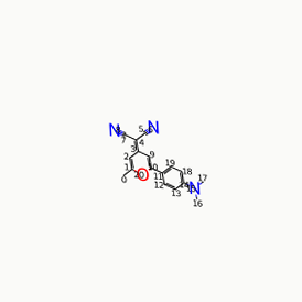 CC1=CC(=C(C#N)C#N)C=C(c2ccc(N(C)C)cc2)O1